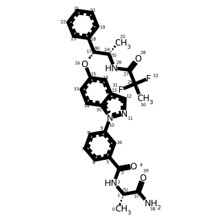 C[C@H](NC(=O)c1cccc(-n2ncc3cc(O[C@H](c4ccccc4)[C@H](C)NC(=O)C(C)(F)F)ccc32)c1)C(N)=O